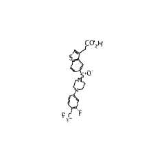 O=C(O)Cc1csc2ccc([S+]([O-])N3CCN(c4ccc(C(F)(F)F)c(F)c4)CC3)cc12